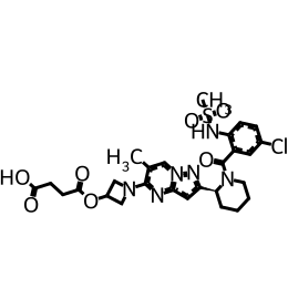 Cc1cn2nc([C@@H]3CCCCN3C(=O)c3cc(Cl)ccc3NS(C)(=O)=O)cc2nc1N1CC(OC(=O)CCC(=O)O)C1